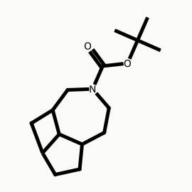 CC(C)(C)OC(=O)N1CCC2CCC3CC(C1)C23